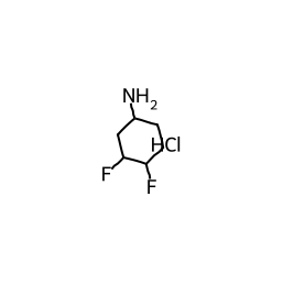 Cl.NC1CCC(F)C(F)C1